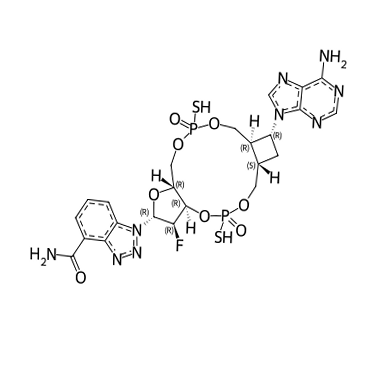 NC(=O)c1cccc2c1nnn2[C@@H]1O[C@@H]2COP(=O)(S)OC[C@@H]3[C@@H](COP(=O)(S)O[C@H]2[C@H]1F)C[C@H]3n1cnc2c(N)ncnc21